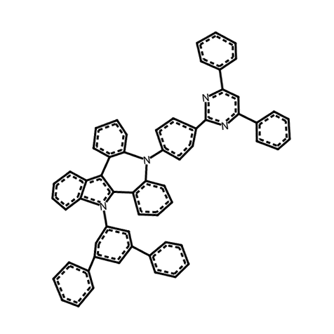 c1ccc(-c2cc(-c3ccccc3)cc(-n3c4c(c5ccccc53)-c3ccccc3N(c3ccc(-c5nc(-c6ccccc6)cc(-c6ccccc6)n5)cc3)c3ccccc3-4)c2)cc1